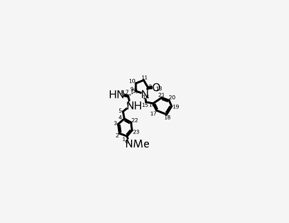 CNc1ccc(CNC(=N)[C@@H]2CCC(=O)N2Cc2ccccc2)cc1